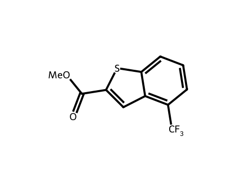 COC(=O)c1cc2c(C(F)(F)F)cccc2s1